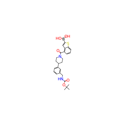 CC(C)(C)OC(=O)NCc1cccc(C2CCN(C(=O)c3cccc4sc(B(O)O)cc34)CC2)c1